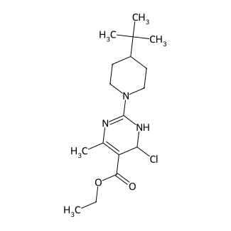 CCOC(=O)C1=C(C)N=C(N2CCC(C(C)(C)C)CC2)NC1Cl